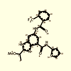 COC(C)c1nc2c(C(=O)Nc3cccs3)cc(NC(=O)c3ccccc3C(F)(F)F)cc2[nH]1